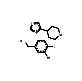 O=CCc1ccc(Br)c(Br)c1.c1nc(C2CCNCC2)co1